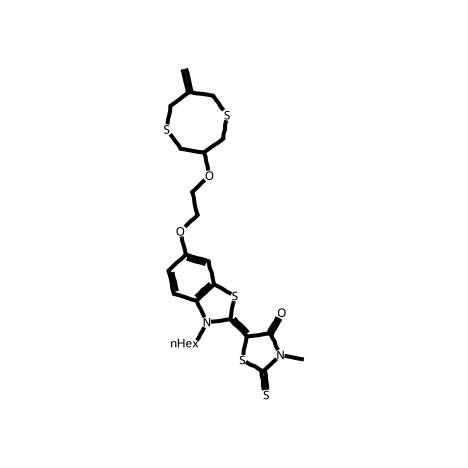 C=C1CSCC(OCCOc2ccc3c(c2)S/C(=C2/SC(=S)N(C)C2=O)N3CCCCCC)CSC1